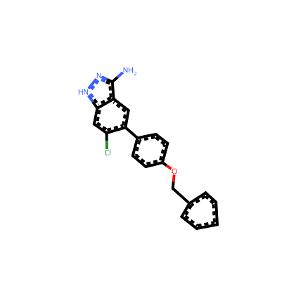 Nc1n[nH]c2cc(Cl)c(-c3ccc(OCc4ccccc4)cc3)cc12